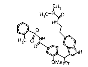 CCCC(c1ccc(C(=O)NS(=O)(=O)c2ccccc2C)cc1OC)c1c[nH]c2ccc(CCNC(=O)N(C)C)cc12